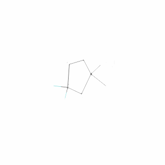 CCOC(=O)C1(C)CCC(F)(F)C1